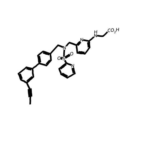 CC#Cc1cccc(-c2ccc(CN(Cc3cccc(NCC(=O)O)n3)S(=O)(=O)c3ccccn3)cc2)c1